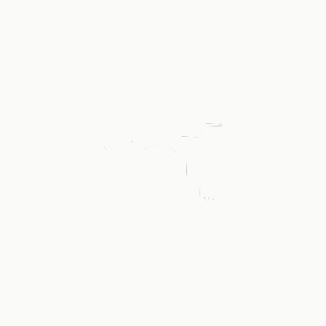 C=CCC[Si](C)(OCCOC)OCCOC